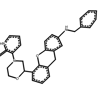 O=c1[nH]cccc1N1CCOC(c2cccc3c2Oc2ccc(NCc4ccccc4)cc2C3)C1